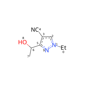 CCn1cc(C#N)c(C(C)O)n1